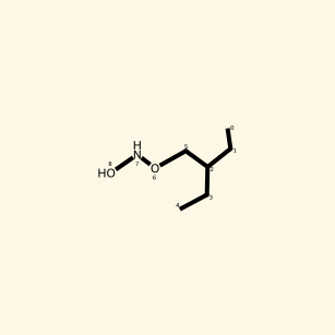 CCC(CC)CONO